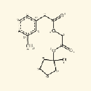 CCC1(OC(=O)COC(=O)Cc2cccc(C)c2)CCCC1